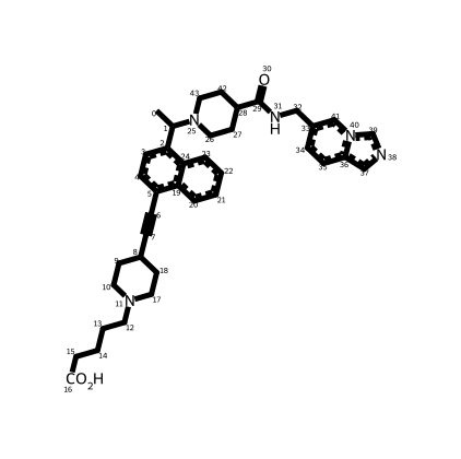 CC(c1ccc(C#CC2CCN(CCCCC(=O)O)CC2)c2ccccc12)N1CCC(C(=O)NCc2ccc3cncn3c2)CC1